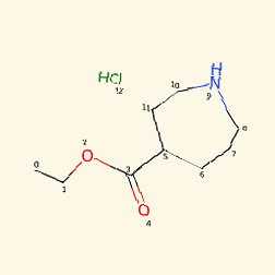 CCOC(=O)C1CCCNCC1.Cl